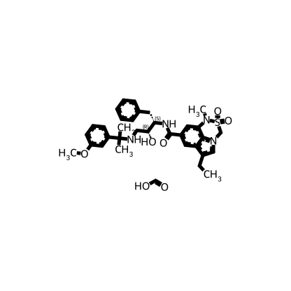 CCc1cn2c3c(cc(C(=O)N[C@@H](Cc4ccccc4)[C@H](O)CNC(C)(C)c4cccc(OC)c4)cc13)N(C)S(=O)(=O)C2.O=CO